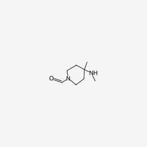 CNC1(C)CCN(C=O)CC1